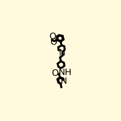 Cc1ccc(C(=O)NC2CCC(CCN3CCC(c4cccc5c4OCO5)CC3)CC2)cn1